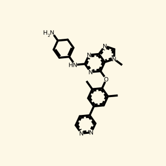 Cc1cc(-c2ccnnc2)cc(C)c1Oc1nc(NC2=CCC(N)C=C2)nc2ncn(C)c12